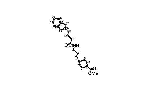 COC(=O)c1ccc(OCCNC(=O)C=CCc2cc3ccccc3o2)cc1